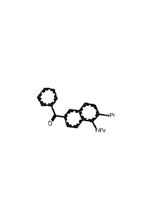 CCCc1c(C(C)C)ccc2cc(C(=O)c3ccccc3)ccc12